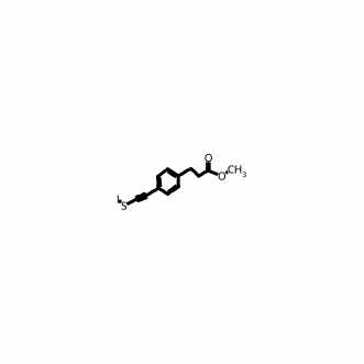 COC(=O)CCc1ccc(C#CSI)cc1